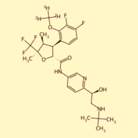 [2H]C([2H])([2H])Oc1c([C@H]2[C@H](C(=O)Nc3ccc([C@@H](O)CNC(C)(C)C)nc3)O[C@@](C)(C(F)(F)F)[C@H]2C)ccc(F)c1F